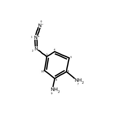 [N-]=[N+]=Nc1ccc(N)c(N)c1